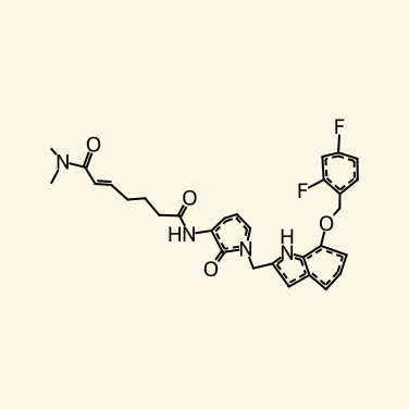 CN(C)C(=O)/C=C/CCCC(=O)Nc1cccn(Cc2cc3cccc(OCc4ccc(F)cc4F)c3[nH]2)c1=O